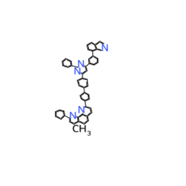 Cc1cc(-c2ccccc2)nc2c1ccc1ccc(-c3ccc(-c4ccc(-c5cc(-c6cccc(-c7cccc8ccncc78)c6)nc(-c6ccccc6)n5)cc4)cc3)nc12